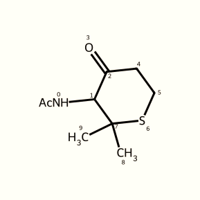 CC(=O)NC1C(=O)CCSC1(C)C